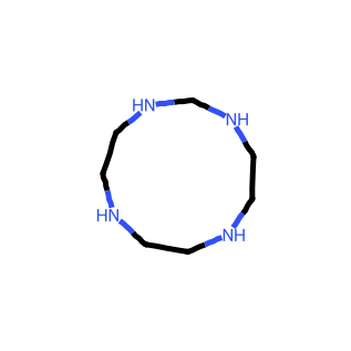 C1CNCCNCNCCN1